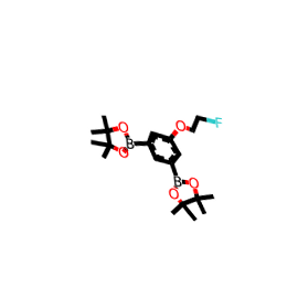 CC1(C)OB(c2cc(OCCF)cc(B3OC(C)(C)C(C)(C)O3)c2)OC1(C)C